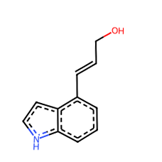 OCC=Cc1cccc2[nH]ccc12